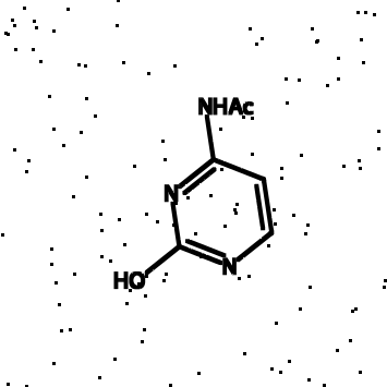 [CH2]C(=O)Nc1ccnc(O)n1